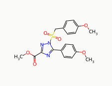 COC(=O)c1nc(-c2ccc(OC)cc2)n(S(=O)(=O)Cc2ccc(OC)cc2)n1